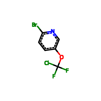 FC(F)(Cl)Oc1ccc(Br)nc1